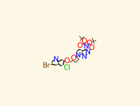 CC(C)(C)OC(=O)N(C(=O)OC(C)(C)C)c1ncnc2c1ccn2C1CCC(COc2cc3ncc(Br)cc3cc2Cl)O1